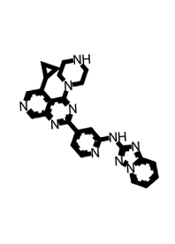 c1ccn2nc(Nc3cc(-c4nc(N5CCNCC5)c5c(C6CC6)cncc5n4)ccn3)nc2c1